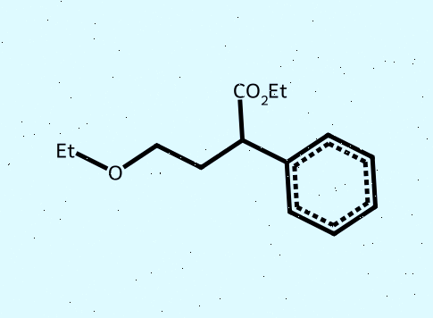 CCOCCC(C(=O)OCC)c1ccccc1